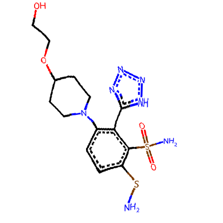 NSc1ccc(N2CCC(OCCO)CC2)c(-c2nnn[nH]2)c1S(N)(=O)=O